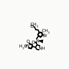 COCCCc1cc(CN(C(=O)C2CNCCC2c2ccn(C)c(=O)c2)C2CC2)cc(Br)c1C